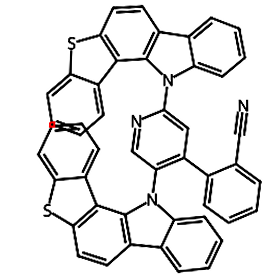 N#Cc1ccccc1-c1cc(-n2c3ccccc3c3ccc4sc5ccccc5c4c32)ncc1-n1c2ccccc2c2ccc3sc4ccccc4c3c21